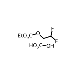 CCOC(=O)OCC(F)F.O=C(O)O